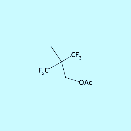 CC(=O)OCC(C)(C(F)(F)F)C(F)(F)F